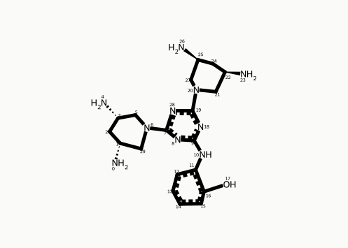 N[C@@H]1C[C@H](N)CN(c2nc(Nc3ccccc3O)nc(N3C[C@H](N)C[C@H](N)C3)n2)C1